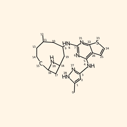 Cc1cc(Nc2nc(NC3CC(C)CCCC4CC(C3)N4)nc3sccc23)n[nH]1